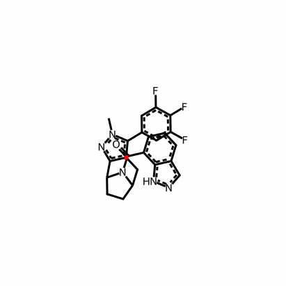 Cn1nc2c(c1-c1cc(F)c(F)c(F)c1)CC1CCC2N1C(=O)c1cccc2cn[nH]c12